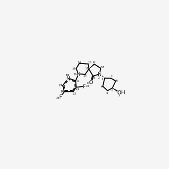 O=C1N([C@H]2CC[C@H](O)CC2)CC[C@@]12CCCN(c1ncc(F)cc1F)C2